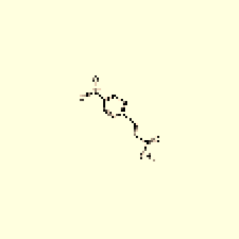 CC(=O)/C=C/c1ccc([N+](=O)[O-])cc1